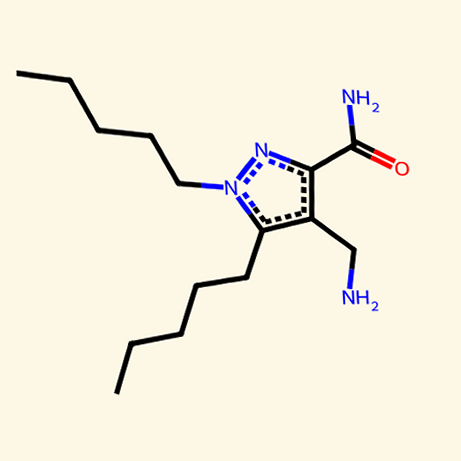 CCCCCc1c(CN)c(C(N)=O)nn1CCCCC